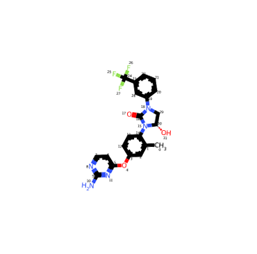 Cc1cc(Oc2ccnc(N)n2)ccc1N1C(=O)N(c2cccc(C(F)(F)F)c2)C[C@@H]1O